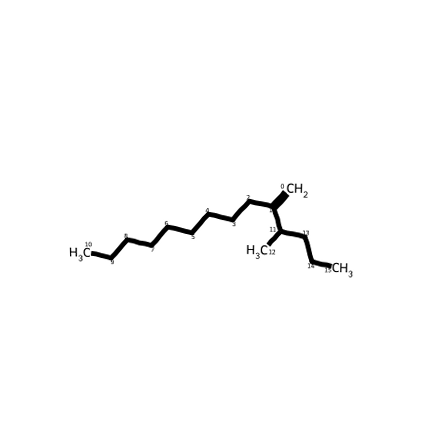 C=C(CCCCCCCCC)C(C)CCC